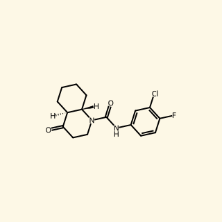 O=C1CCN(C(=O)Nc2ccc(F)c(Cl)c2)[C@H]2CCCC[C@H]12